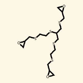 C(CSCC(CSCC1CO1)SCCSCC1CO1)SCC1CO1